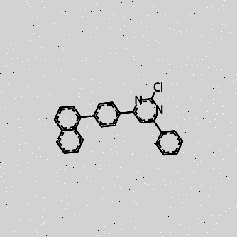 Clc1nc(-c2ccccc2)cc(-c2ccc(-c3cccc4ccccc34)cc2)n1